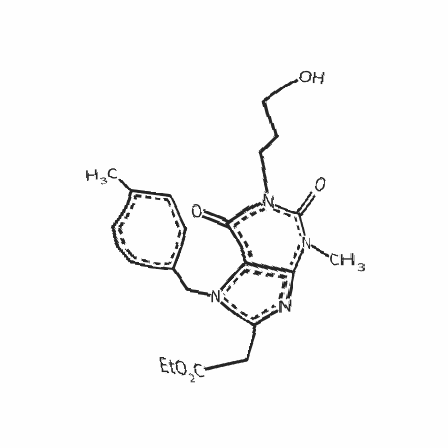 CCOC(=O)Cc1nc2c(c(=O)n(CCCO)c(=O)n2C)n1Cc1ccc(C)cc1